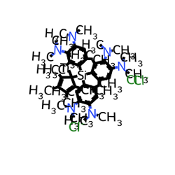 CC1=C(C)[C]([Ti+3])([Si](c2c(C)cc(N(C)C)c(N(C)C)c2C)(c2c(C)cc(N(C)C)c(N(C)C)c2C)c2c(C)cc(N(C)C)c(N(C)C)c2C)C(C)=C1C.[Cl-].[Cl-].[Cl-]